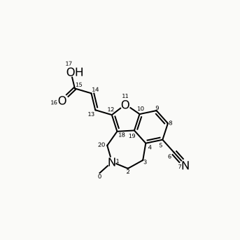 CN1CCc2c(C#N)ccc3oc(/C=C/C(=O)O)c(c23)C1